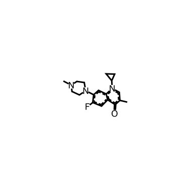 Cc1cn(C2CC2)c2cc(N3CCN(C)CC3)c(F)cc2c1=O